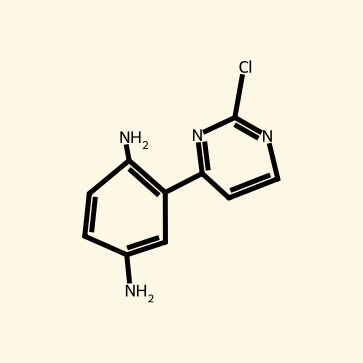 Nc1ccc(N)c(-c2ccnc(Cl)n2)c1